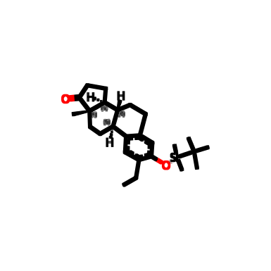 CCc1cc2c(cc1O[Si](C)(C)C(C)(C)C)CC[C@@H]1[C@@H]2CC[C@]2(C)C(=O)CC[C@@H]12